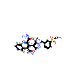 Cc1nn(Cc2cccc(S(C)(=O)=O)c2)c(C)c1-c1c(C(N)=O)nc2cccc(F)c2c1C(N)=O